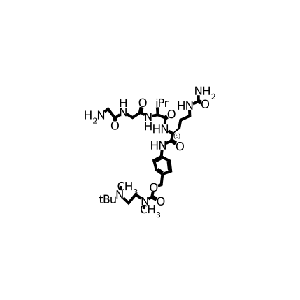 CC(C)C(NC(=O)CNC(=O)CN)C(=O)N[C@@H](CCCNC(N)=O)C(=O)Nc1ccc(COC(=O)N(C)CCN(C)C(C)(C)C)cc1